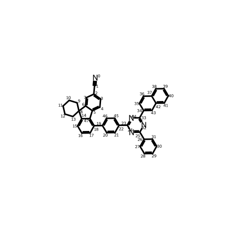 N#Cc1ccc2c(c1)C1(CCCCC1)c1cccc(-c3ccc(-c4nc(-c5ccccc5)nc(-c5ccc6ccccc6c5)n4)cc3)c1-2